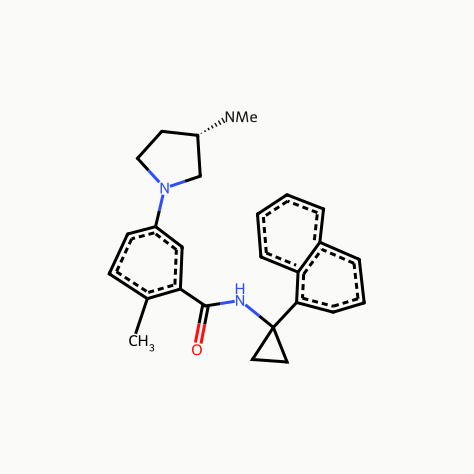 CN[C@H]1CCN(c2ccc(C)c(C(=O)NC3(c4cccc5ccccc45)CC3)c2)C1